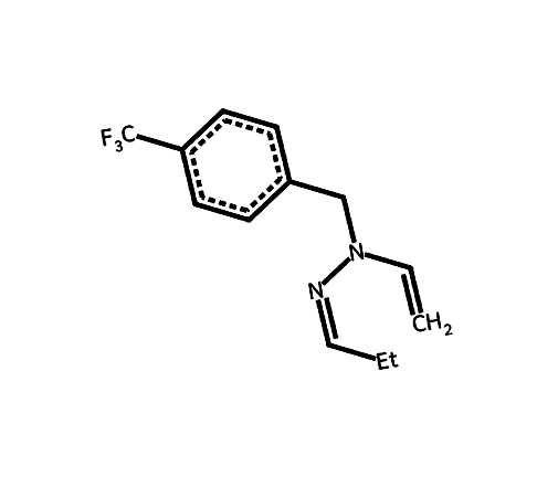 C=CN(Cc1ccc(C(F)(F)F)cc1)/N=C\CC